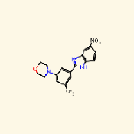 O=[N+]([O-])c1ccc2[nH]c(-c3cc(N4CCOCC4)cc(C(F)(F)F)c3)nc2c1